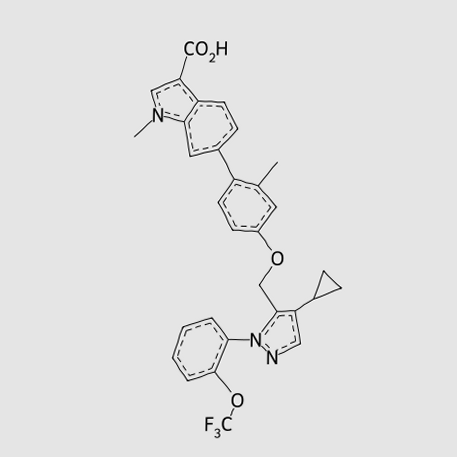 Cc1cc(OCc2c(C3CC3)cnn2-c2ccccc2OC(F)(F)F)ccc1-c1ccc2c(C(=O)O)cn(C)c2c1